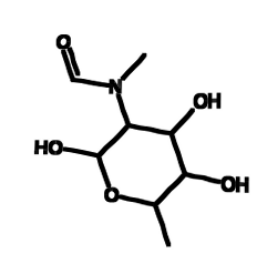 CC1OC(O)C(N(C)C=O)C(O)C1O